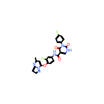 Cc1cc(Oc2ccc(NC(=O)c3c[nH]c(=O)n(-c4ccc(F)cc4)c3=O)cc2F)n2nccc2n1